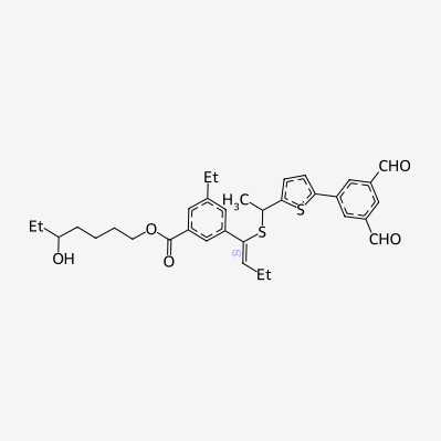 CC/C=C(\SC(C)c1ccc(-c2cc(C=O)cc(C=O)c2)s1)c1cc(CC)cc(C(=O)OCCCCC(O)CC)c1